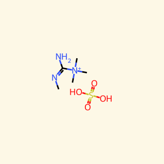 CN=C(N)[N+](C)(C)C.O=S(=O)(O)O